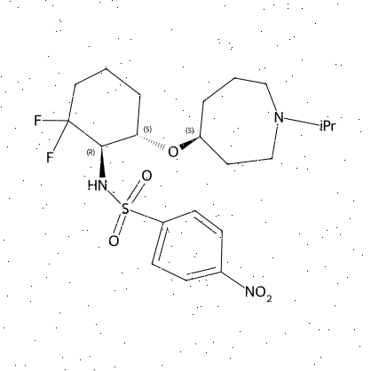 CC(C)N1CCC[C@H](O[C@H]2CCCC(F)(F)[C@@H]2NS(=O)(=O)c2ccc([N+](=O)[O-])cc2)CC1